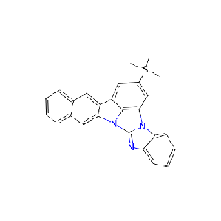 C[Si](C)(C)c1cc2c3cc4ccccc4cc3n3c2c(c1)n1c2ccccc2nc13